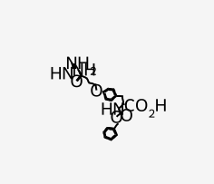 N=C(N)NC(=O)CCCOc1ccc(C[C@H](NC(=O)OCc2ccccc2)C(=O)O)cc1